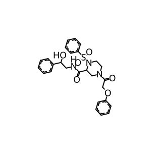 O=C(NCC(O)c1ccccc1)C1CN(C(=O)COc2ccccc2)CCN1S(=O)(=O)c1ccccc1